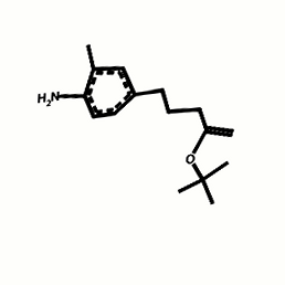 C=C(CCCc1ccc(N)c(C)c1)OC(C)(C)C